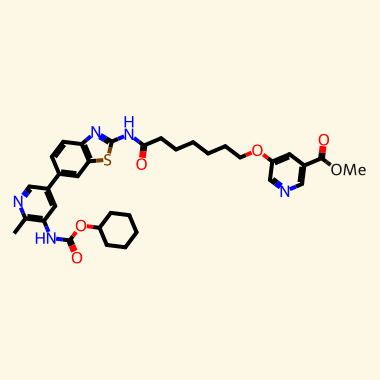 COC(=O)c1cncc(OCCCCCCC(=O)Nc2nc3ccc(-c4cnc(C)c(NC(=O)OC5CCCCC5)c4)cc3s2)c1